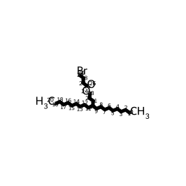 CCCCCCCCCCC(CCCCCCCCCC)CCCOC(=O)CCCBr